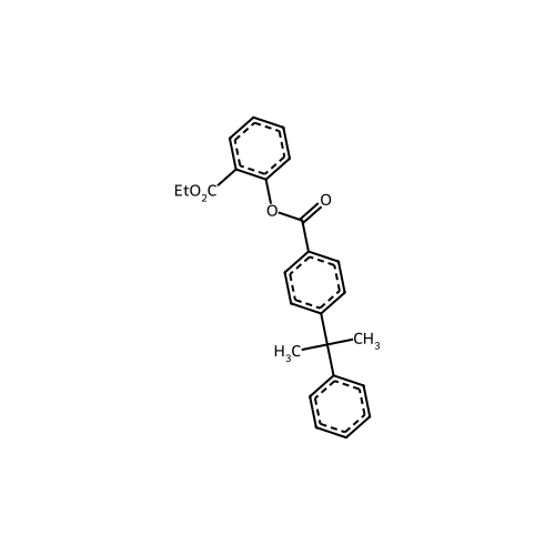 CCOC(=O)c1ccccc1OC(=O)c1ccc(C(C)(C)c2ccccc2)cc1